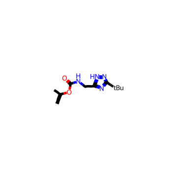 C=C(C)OC(=O)NCc1nc(C(C)(C)C)n[nH]1